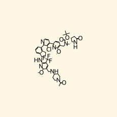 COc1nc(-c2ccnc(-c3cccc4c3CC[C@@H]4Nc3nc(OC)c(CNC4CCN(C(C)=O)CC4)cc3C(F)(F)F)c2Cl)ccc1CN(C[C@@H]1CCC(=O)N1)C(=O)OC(C)(C)C